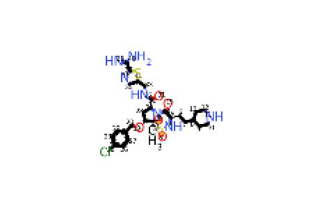 CS(=O)(=O)N[C@H](CCC1CCNCC1)C(=O)N1C[C@H](OCc2ccc(Cl)cc2)C[C@H]1C(=O)NCC1CN=C(C(=N)N)S1